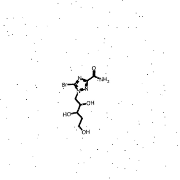 NC(=O)c1nc(Br)n(CC(O)C(O)CCO)n1